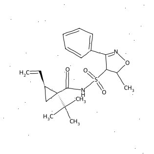 C=C[C@@H]1C[C@@]1(C(=O)NS(=O)(=O)C1C(c2ccccc2)=NOC1C)C(C)(C)C